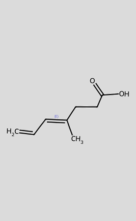 C=C/C=C(\C)CCC(=O)O